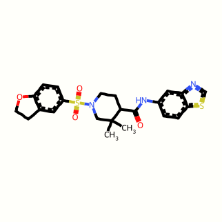 CC1(C)CN(S(=O)(=O)c2ccc3c(c2)CCO3)CCC1C(=O)Nc1ccc2scnc2c1